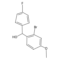 COc1ccc(C(O)c2ccc(F)cc2)c(Br)c1